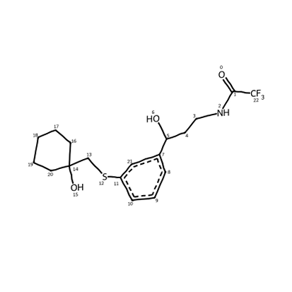 O=C(NCCC(O)c1cccc(SCC2(O)CCCCC2)c1)C(F)(F)F